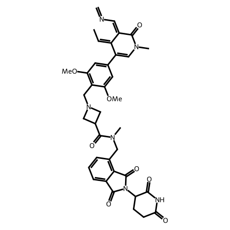 C=N/C=c1/c(=O)n(C)cc(-c2cc(OC)c(CN3CC(C(=O)N(C)Cc4cccc5c4C(=O)N(C4CCC(=O)NC4=O)C5=O)C3)c(OC)c2)/c1=C/C